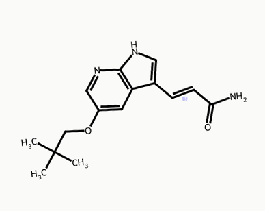 CC(C)(C)COc1cnc2[nH]cc(/C=C/C(N)=O)c2c1